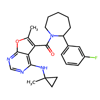 Cc1oc2ncnc(NC3(C)CC3)c2c1C(=O)N1CCCCCC1c1cccc(F)c1